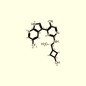 C[C@H](Nc1ncc(C#N)c(-c2c[nH]c3ncc(C(F)(F)F)cc23)n1)C1CC(O)C1